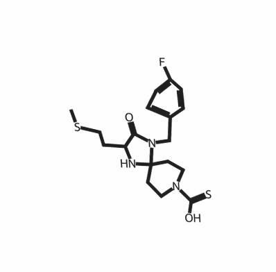 CSCCC1NC2(CCN(C(O)=S)CC2)N(Cc2ccc(F)cc2)C1=O